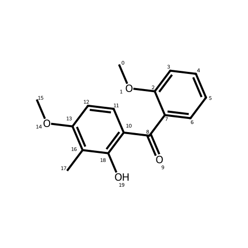 COc1ccccc1C(=O)c1ccc(OC)c(C)c1O